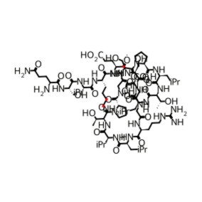 CC(C)C[C@H](NC(=O)[C@H](CCCNC(=N)N)NC(=O)CNC(=O)CNC(=O)[C@H](CO)NC(=O)[C@H](CCC(=O)O)NC(=O)[C@H](CCCCN)NC(=O)[C@@H](NC(=O)[C@H](CO)NC(=O)[C@@H](N)CCC(N)=O)C(C)C)C(=O)N[C@H](C(=O)N[C@H](C(=O)N1CCC[C@H]1C(=O)NCC(=O)N[C@H](C(=O)N1CCC[C@H]1C(=O)N[C@@H](CC(C)C)C(=O)N[C@H](C(=O)N[C@@H](CC(C)C)C(=O)N[C@H](C(=O)O)[C@@H](C)O)[C@@H](C)O)[C@@H](C)O)[C@@H](C)O)C(C)C